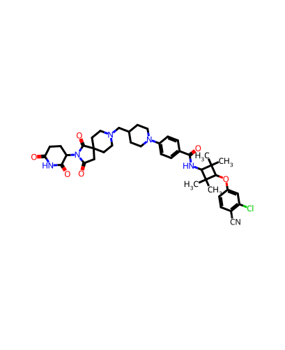 CC1(C)C(NC(=O)c2ccc(N3CCC(CN4CCC5(CC4)CC(=O)N(C4CCC(=O)NC4=O)C5=O)CC3)cc2)C(C)(C)C1Oc1ccc(C#N)c(Cl)c1